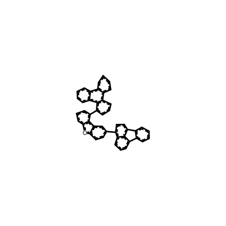 c1ccc2c(c1)-c1cccc3c(-c4ccc5oc6cccc(-c7cccc8c9ccccc9c9ccccc9c78)c6c5c4)ccc-2c13